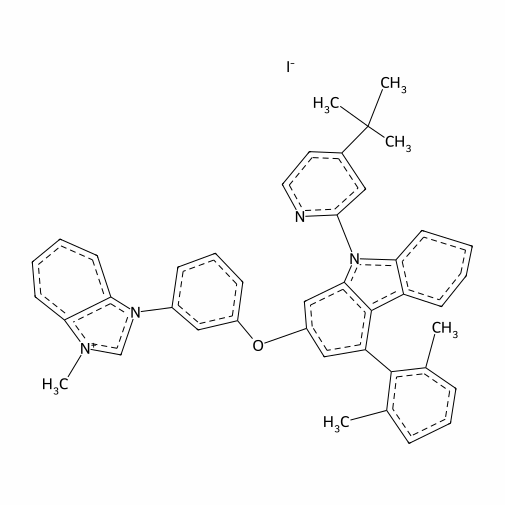 Cc1cccc(C)c1-c1cc(Oc2cccc(-n3c[n+](C)c4ccccc43)c2)cc2c1c1ccccc1n2-c1cc(C(C)(C)C)ccn1.[I-]